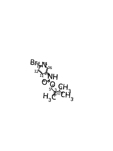 CC(C)[C@@H](C)COC(=O)Nc1ccc(Br)nc1